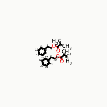 CC(C)C(=O)OCCc1ccccc1.CC(C)C(=O)OCCc1ccccc1